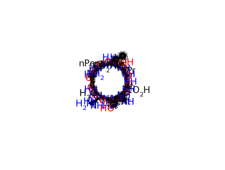 CCCCC[C@@H]1NC(=O)[C@H](CCCNC(=N)N)NC(=O)[C@H](C)NC(=O)CSC[C@@H](C(N)=O)NC(=O)[C@H](CC(=O)O)NC(=O)[C@H](CCCCC)NC(=O)[C@H](Cc2ccc(-c3ccccc3)cc2)NC(=O)[C@H](CCO)NC(=O)[C@H](C(C)C)NC(=O)CNC(=O)[C@H](CC(=O)O)NC(=O)[C@H](Cc2c[nH]cn2)NC(=O)[C@H](Cc2ccc(O)cc2)NC1=O